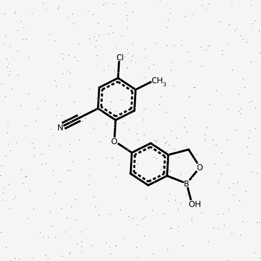 Cc1cc(Oc2ccc3c(c2)COB3O)c(C#N)cc1Cl